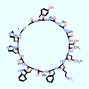 CC[C@H](C)[C@@H]1NC(=O)[C@H](Cc2ccccc2)NC(=O)[C@H](CCCCN)NC(=O)[C@H](CCC(=O)O)NC(=O)[C@H]([C@@H](C)O)NC(=O)[C@H](C(C)C)NC(=O)[C@H]([C@@H](C)CC)NC(=O)[C@H]([C@@H](C)CC)NC(=O)[C@@H](Cc2ccc(O)cc2)NC(=O)CSC[C@@H](I)NC(=O)[C@H](Cc2cnc[nH]2)NC(=O)[C@H](Cc2cnc[nH]2)NC(=O)[C@H](C(C)C)NC(=O)[C@H](Cc2c[nH]c3ccccc23)NC1=O